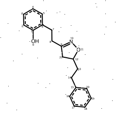 Oc1ccccc1CCC1=NOC(CCc2ccccc2)C1